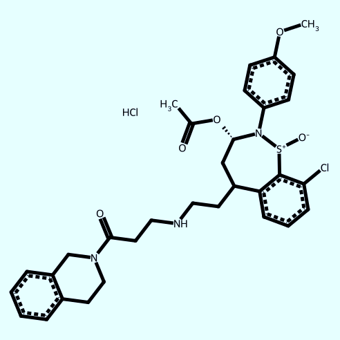 COc1ccc(N2[C@@H](OC(C)=O)CC(CCNCCC(=O)N3CCc4ccccc4C3)c3cccc(Cl)c3[S+]2[O-])cc1.Cl